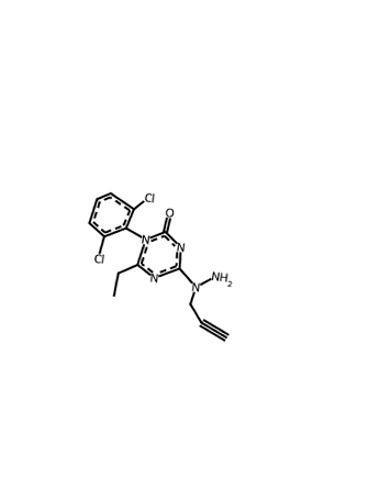 C#CCN(N)c1nc(CC)n(-c2c(Cl)cccc2Cl)c(=O)n1